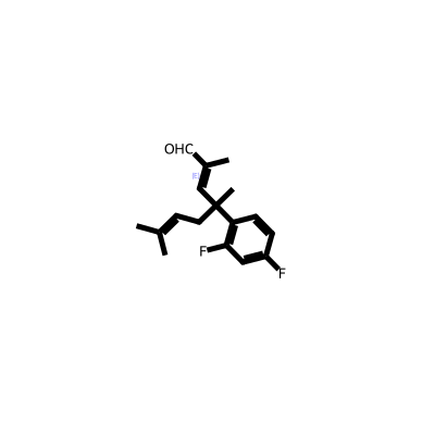 CC(C)=CCC(C)(/C=C(\C)C=O)c1ccc(F)cc1F